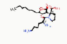 CCCCCCCC1CC([C@@]2(C(=O)O)CCCN2C(=O)[C@@H](N)CCCCN)C(=O)O1